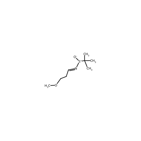 COCC/C=N/[S+]([O-])C(C)(C)C